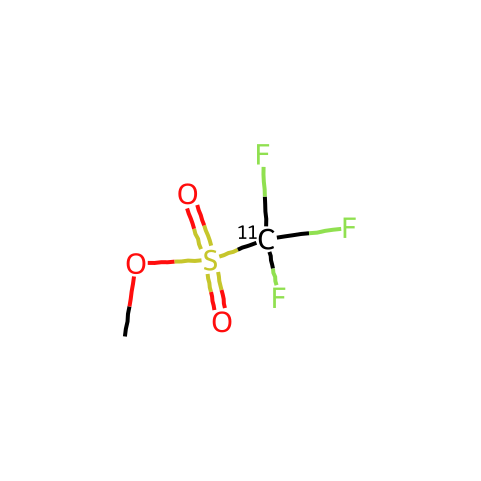 COS(=O)(=O)[11C](F)(F)F